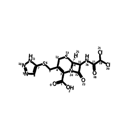 O=C(O)C1=C(CSc2cnn[nH]2)CS[C@H]2C(NC(=O)C(Cl)Cl)C(=O)N12